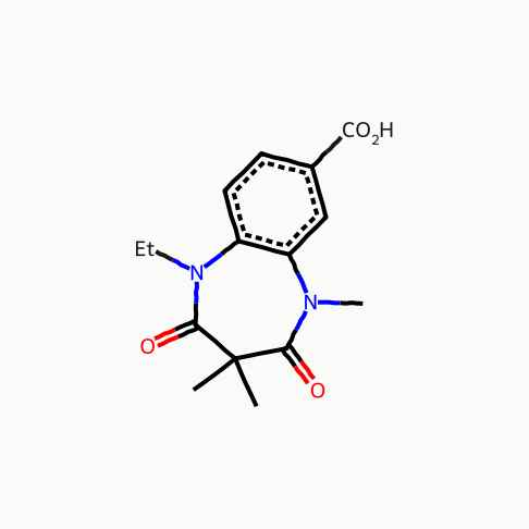 CCN1C(=O)C(C)(C)C(=O)N(C)c2cc(C(=O)O)ccc21